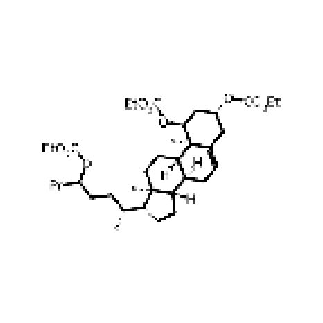 CCOC(=O)OC(CC[C@@H](C)[C@H]1CC[C@H]2[C@@H]3CC=C4C[C@@H](OC(=O)OCC)C[C@H](OC(=O)OCC)[C@]4(C)[C@H]3CC[C@]12C)C(C)C